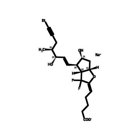 CCC#CC[C@H](C)[C@@H](O)C=C[C@@H]1[C@@H]2[C@H](C[C@H]1O)OC(=CCCCC(=O)[O-])C2(F)F.[Na+]